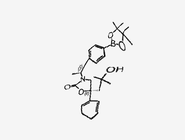 C[C@@H](c1ccc(B2OC(C)(C)C(C)(C)O2)cc1)N1C[C@@](CC(C)(C)O)(C2=CCCC=C2)OC1=O